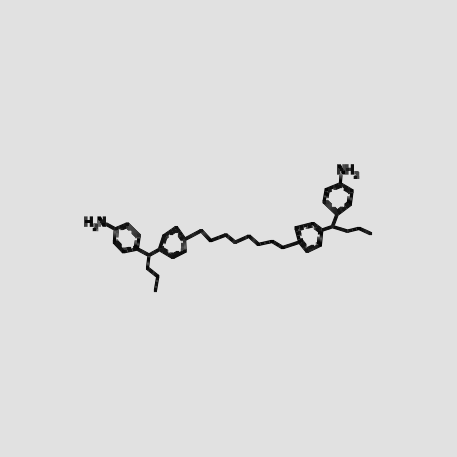 CCCC(c1ccc(N)cc1)c1ccc(CCCCCCCCc2ccc(C(CCC)c3ccc(N)cc3)cc2)cc1